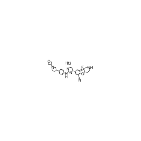 Cl.N#Cc1cc(-c2ccnc(Nc3ccc(C4CCN(C5COC5)C4)cc3)n2)ccc1OC1CCNCC1(F)F